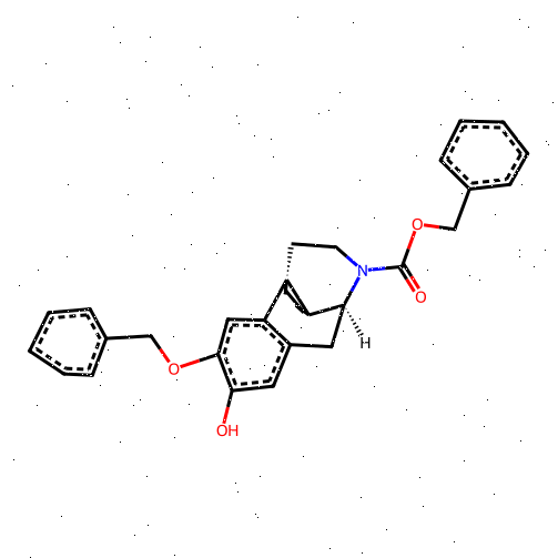 O=C(OCc1ccccc1)N1CC[C@@]23CCCCC2[C@@H]1Cc1cc(O)c(OCc2ccccc2)cc13